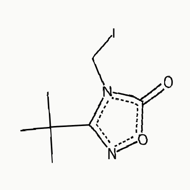 CC(C)(C)c1noc(=O)n1CI